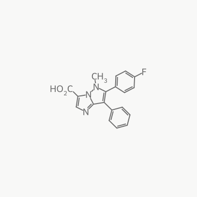 Cn1c(-c2ccc(F)cc2)c(-c2ccccc2)c2ncc(C(=O)O)n21